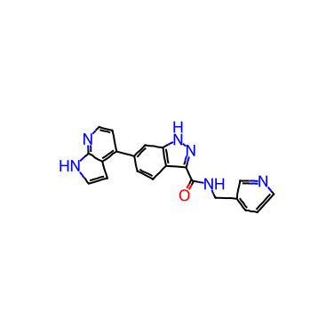 O=C(NCc1cccnc1)c1n[nH]c2cc(-c3ccnc4[nH]ccc34)ccc12